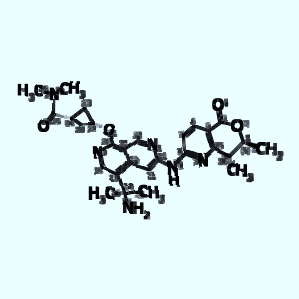 C[C@@H]1OC(=O)c2ccc(Nc3cc4c(C(C)(C)N)cnc(O[C@H]5C[C@@H](C(=O)N(C)C)C5)c4cn3)nc2[C@H]1C